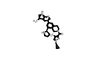 Cc1cn(C2CC2)nc1C(=O)N1CCc2cc(-c3cnc4[nH]cc(C)c4c3)cc(C3CCCN3)c2C1